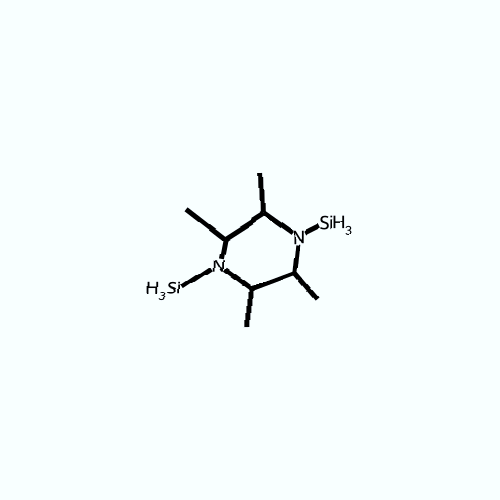 CC1C(C)N([SiH3])C(C)C(C)N1[SiH3]